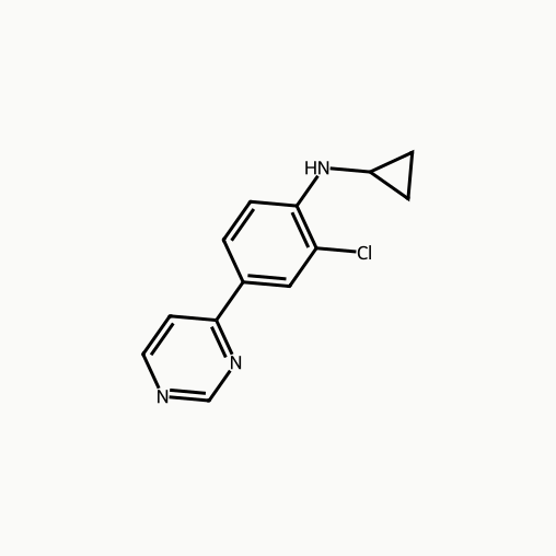 Clc1cc(-c2ccncn2)ccc1NC1CC1